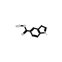 COC(=O)c1ccc2c(c1)CC=N2